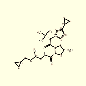 CC(C)(C)[C@@H](C(=O)N1C[C@H](O)C[C@H]1C(=O)NCC(O)CCC1CC1)n1cc(C2CC2)nn1